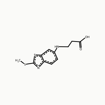 CSc1nc2ccc(NCCC(=O)O)cc2s1